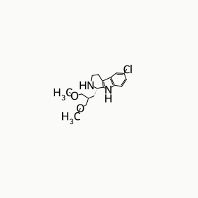 COCC(COC)C[C@@H]1NCCc2c1[nH]c1ccc(Cl)cc21